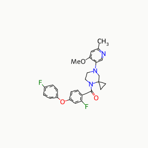 COc1cc(C)ncc1N1CCN(C(=O)c2ccc(Oc3ccc(F)cc3)cc2F)C2(CC2)C1